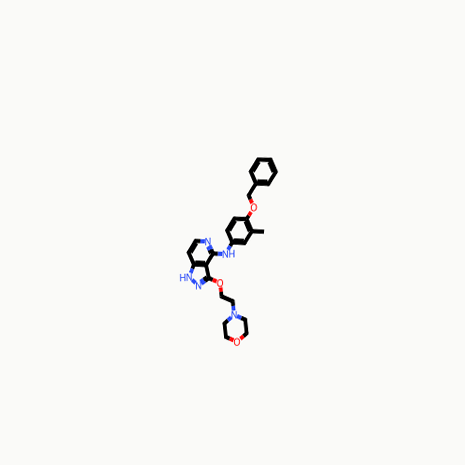 Cc1cc(Nc2nccc3[nH]nc(OCCN4CCOCC4)c23)ccc1OCc1ccccc1